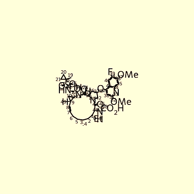 CC[C@@H]1C[C@H](C)CC/C=C\[C@@H]2C[C@@]2(C(=O)NS(=O)(=O)C2(C)CC2)NC(=O)[C@@H]2C[C@@H](Oc3cc(OC)nc4cc(OC)c(F)cc34)CN2C(=O)[C@H]1NC(=O)O